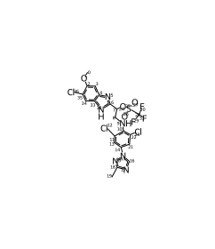 COc1cc2nc(C(CNc3c(Cl)cc(-n4cnc(C)n4)cc3Cl)OS(=O)(=O)C(F)(F)F)[nH]c2cc1Cl